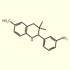 CC1(C)Cc2cc(C(=O)O)ccc2NC1c1cccc([N+](=O)[O-])c1